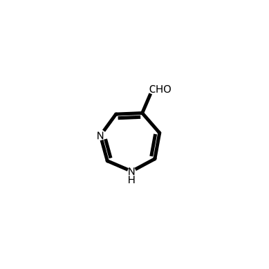 O=CC1=CN=CNC=C1